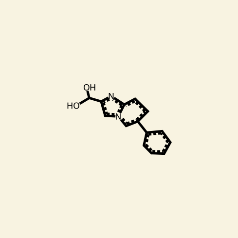 OC(O)c1cn2cc(-c3ccccc3)ccc2n1